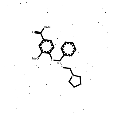 COC(=O)c1ccc(O[C@@H](CCN2CCCC2)c2ccccc2)c(OC)c1